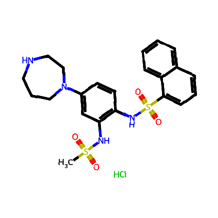 CS(=O)(=O)Nc1cc(N2CCCNCC2)ccc1NS(=O)(=O)c1cccc2ccccc12.Cl